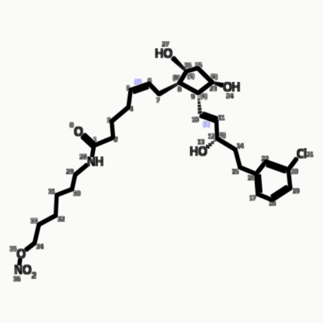 O=C(CCC/C=C\C[C@@H]1[C@@H](/C=C/[C@@H](O)CCc2cccc(Cl)c2)[C@H](O)C[C@@H]1O)NCCCCCCO[N+](=O)[O-]